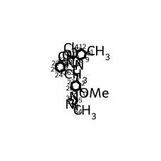 COc1cc(/C=C/c2nc3cc(C)cc(Cl)c3c(=O)n2-c2c(C)cccc2C)ccc1-n1cnc(C)c1